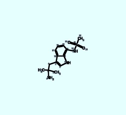 CC(C)(N)Cc1c[nH]c2c(NS(C)(=O)=O)cccc12